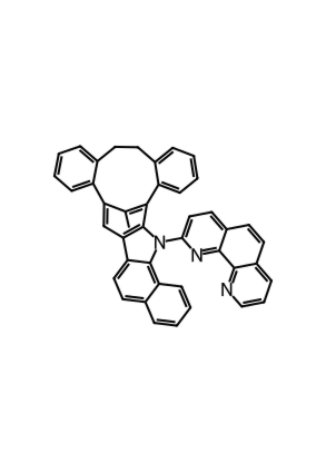 Cc1c2cc3c4ccc5ccccc5c4n(-c4ccc5ccc6cccnc6c5n4)c3c1-c1ccccc1CCc1ccccc1-2